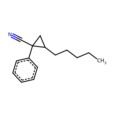 CCCCCC1CC1(C#N)c1ccccc1